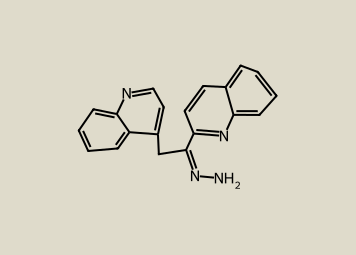 N/N=C(/Cc1ccnc2ccccc12)c1ccc2ccccc2n1